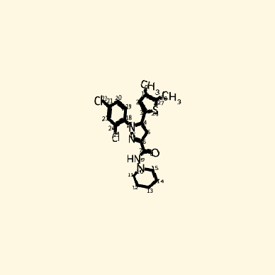 Cc1cc(C2CC(C(=O)NN3CCCCC3)=NN2c2ccc(Cl)cc2Cl)sc1C